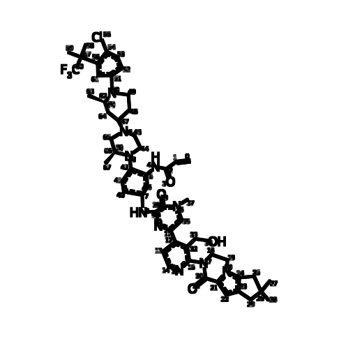 C=CC(=O)Nc1cc(Nc2nc(-c3ccnc(N4CCn5c(cc6c5CC(C)(C)C6)C4=O)c3CO)cn(C)c2=O)ccc1N1CCN(C2CCN(c3ccc(Cl)c(C(C)(C)C(F)(F)F)c3)[C@H](C)C2)C[C@@H]1C